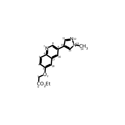 CCOC(=O)COc1ccc2ncc(-c3cnn(C)c3)cc2c1